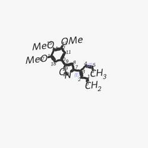 C=C/C=C(\C=C/C)c1cc(-c2cc(OC)c(OC)c(OC)c2)on1